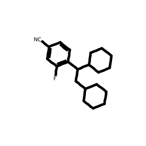 N#Cc1ccc(C(CC2CCCCC2)C2CCCCC2)c(F)c1